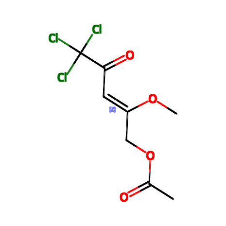 CO/C(=C\C(=O)C(Cl)(Cl)Cl)COC(C)=O